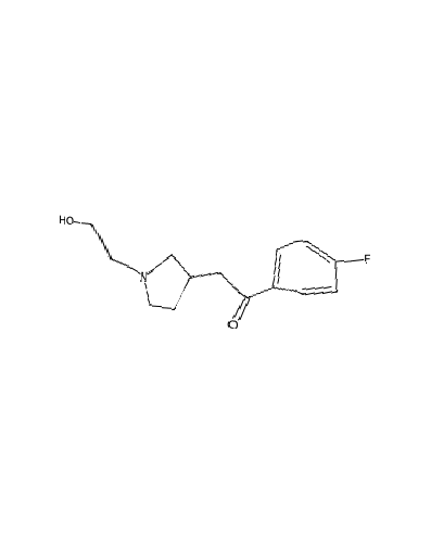 O=C(CC1CCN(CCO)C1)c1ccc(F)cc1